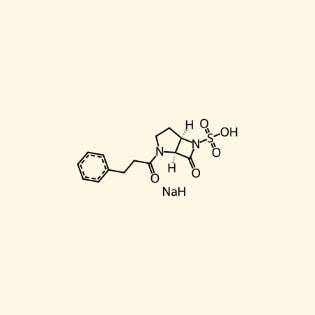 O=C(CCc1ccccc1)N1CC[C@@H]2[C@H]1C(=O)N2S(=O)(=O)O.[NaH]